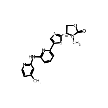 Cc1ccnc(Nc2cccc(-c3cnc([C@@H]4COC(=O)N4C)s3)n2)c1